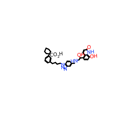 O=C(O)C1(c2cccc(CCCCn3nnc4cc(CNCC(O)c5ccc(O)c6[nH]c(=O)ccc56)ccc43)c2)CCCCC1